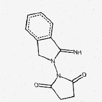 N=C1c2ccccc2CN1N1C(=O)CCC1=O